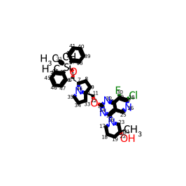 CC(C)(C)[Si](OC[C@@H]1CC[C@]2(COc3nc(N4CCC[C@@](C)(O)C4)c4cnc(Cl)c(F)c4n3)CCCN12)(c1ccccc1)c1ccccc1